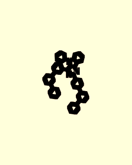 c1ccc(-c2cccc(-c3ccc(-c4nc(-c5cccc(-c6cccc(-c7ccccc7)c6)c5)c5c(n4)c4ccccc4n5-c4ccccc4)cc3)c2)cc1